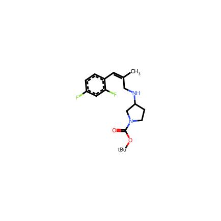 CC(=Cc1ccc(F)cc1F)CNC1CCN(C(=O)OC(C)(C)C)C1